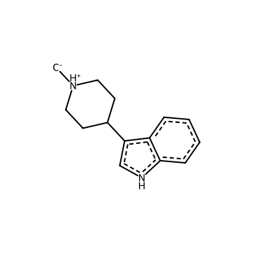 [CH2-][NH+]1CCC(c2c[nH]c3ccccc23)CC1